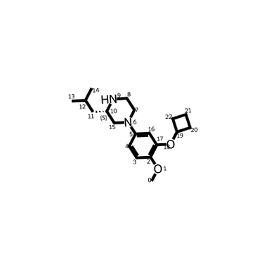 COc1ccc(N2CCN[C@@H](CC(C)C)C2)cc1OC1CCC1